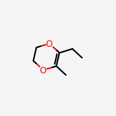 CCC1=C(C)OCCO1